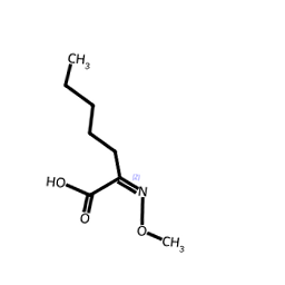 CCCCC/C(=N/OC)C(=O)O